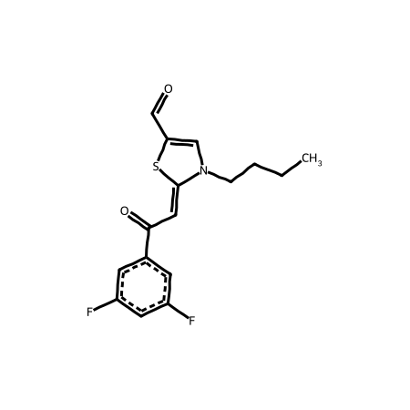 CCCCN1C=C(C=O)SC1=CC(=O)c1cc(F)cc(F)c1